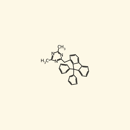 Cc1nc(C)nc(Cc2cccc3c2C(c2ccccc2)(c2ccccc2)c2ccccc2-3)n1